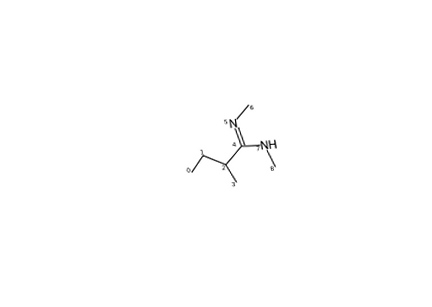 CCC(C)/C(=N/C)NC